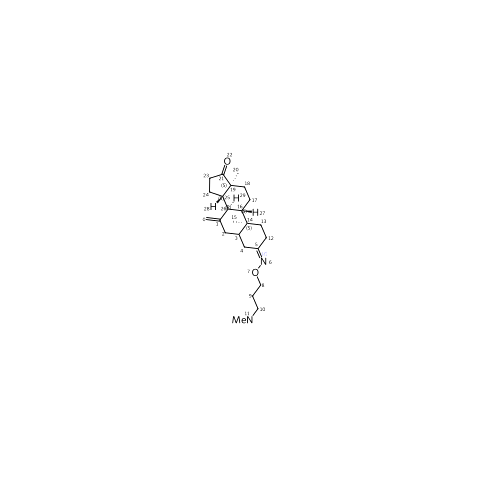 C=C1CC2C/C(=N\OCCCNC)CC[C@]2(C)[C@H]2CC[C@]3(C)C(=O)CC[C@H]3[C@H]12